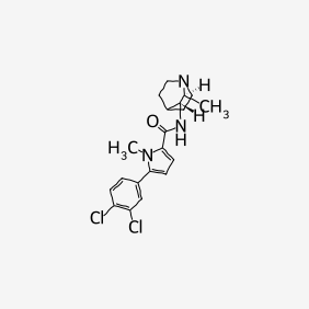 C[C@H]1[C@H](NC(=O)c2ccc(-c3ccc(Cl)c(Cl)c3)n2C)C2CCN1CC2